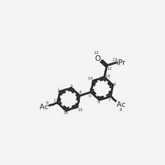 CC(=O)c1ccc(-c2cc(C(C)=O)cc(C(=O)C(C)C)c2)cc1